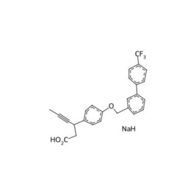 CC#CC(CC(=O)O)c1ccc(OCc2cccc(-c3ccc(C(F)(F)F)cc3)c2)cc1.[NaH]